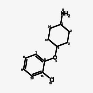 NC1CCC(Oc2ccccc2Cl)CC1